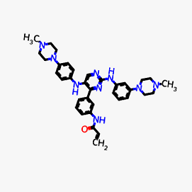 C=CC(=O)Nc1cccc(-c2nc(Nc3cccc(N4CCN(C)CC4)c3)ncc2Nc2ccc(N3CCN(C)CC3)cc2)c1